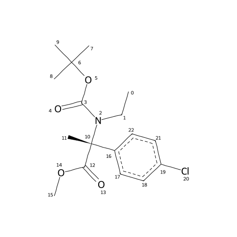 CCN(C(=O)OC(C)(C)C)[C@@](C)(C(=O)OC)c1ccc(Cl)cc1